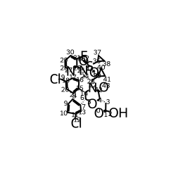 O=C(O)C[C@@H]1O[C@H](c2cccc(Cl)c2)[C@@H](c2ccc(Cl)cc2)N([C@H](CN(c2ncccc2F)S(=O)(=O)C2CC2)C2CC2)C1=O